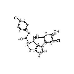 O=C(Cc1ccc(Cl)cc1)N1CCc2[nH]nc(-c3cc(Cl)c(O)cc3O)c2C1